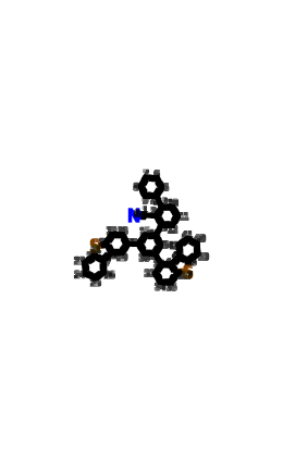 N#Cc1c(-c2ccccc2)cccc1-c1cc(-c2ccc3sc4ccccc4c3c2)cc(-c2cccc3sc4ccccc4c23)c1